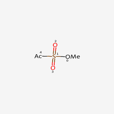 COS(=O)(=O)C(C)=O